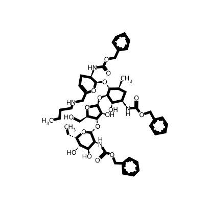 CCCCNCC1=CC[C@@H](NC(=O)OCc2ccccc2)[C@@H](O[C@H]2[C@H](O[C@@H]3O[C@H](CO)[C@@H](O[C@H]4O[C@@H](CC)[C@@H](O)[C@H](O)[C@H]4NC(=O)OCc4ccccc4)[C@H]3O)[C@@H](O)[C@H](NC(=O)OCc3ccccc3)C[C@@H]2C)O1